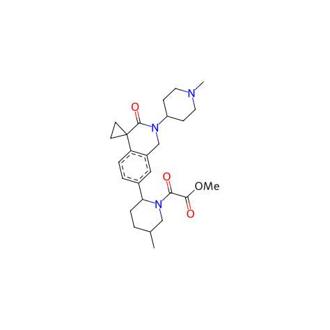 COC(=O)C(=O)N1CC(C)CCC1c1ccc2c(c1)CN(C1CCN(C)CC1)C(=O)C21CC1